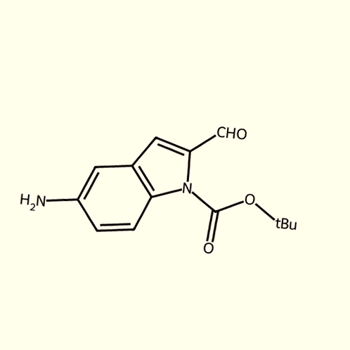 CC(C)(C)OC(=O)n1c(C=O)cc2cc(N)ccc21